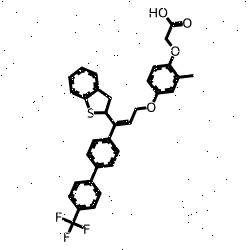 Cc1cc(OC/C=C(/c2ccc(-c3ccc(C(F)(F)F)cc3)cc2)C2Cc3ccccc3S2)ccc1OCC(=O)O